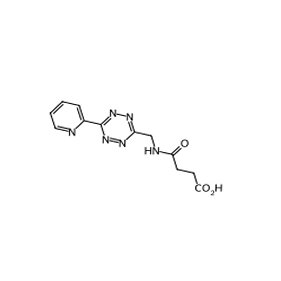 O=C(O)CCC(=O)NCc1nnc(-c2ccccn2)nn1